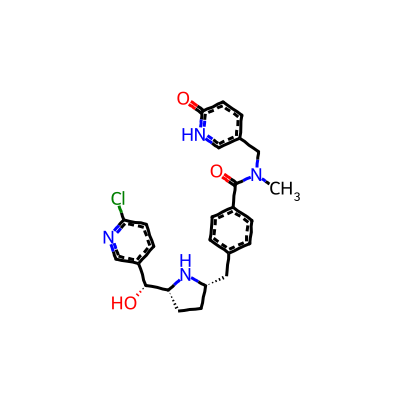 CN(Cc1ccc(=O)[nH]c1)C(=O)c1ccc(C[C@@H]2CC[C@H]([C@H](O)c3ccc(Cl)nc3)N2)cc1